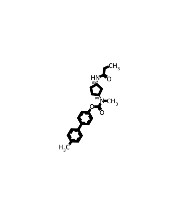 CCC(=O)N[C@H]1CC[C@@H](N(C)C(=O)Oc2ccc(-c3ccc(C)cc3)cc2)C1